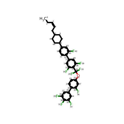 CC/C=C\CC1CCC(c2ccc(-c3cc(F)c(C(F)(F)Oc4ccc(-c5cc(F)c(F)c(F)c5)c(F)c4)c(F)c3)c(F)c2)CC1